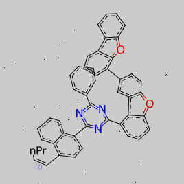 CCC/C=C\c1ccc(-c2nc(-c3ccccc3)nc(-c3cccc4oc5ccc(-c6cccc7c6oc6ccccc67)cc5c34)n2)c2ccccc12